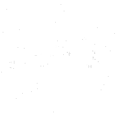 CCOC(=O)c1c(CCCOc2cccc3cc(Cl)ccc23)c2cccc3c2n1CCCCOCc1nn(C)c(C)c1-3